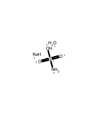 NS(=O)(=O)O.O.[NaH]